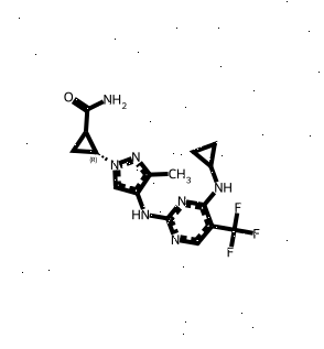 Cc1nn([C@@H]2CC2C(N)=O)cc1Nc1ncc(C(F)(F)F)c(NC2CC2)n1